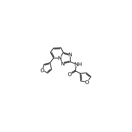 O=C(Nc1nc2cccc(-c3ccoc3)n2n1)c1ccoc1